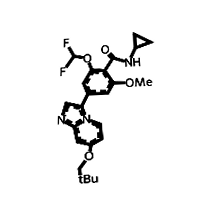 COc1cc(-c2cnc3cc(OCC(C)(C)C)ccn23)cc(OC(F)F)c1C(=O)NC1CC1